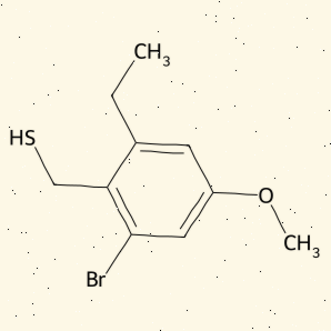 CCc1cc(OC)cc(Br)c1CS